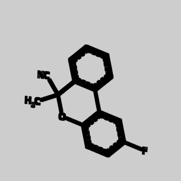 CC1(C#N)Oc2ccc(F)cc2-c2ccccc21